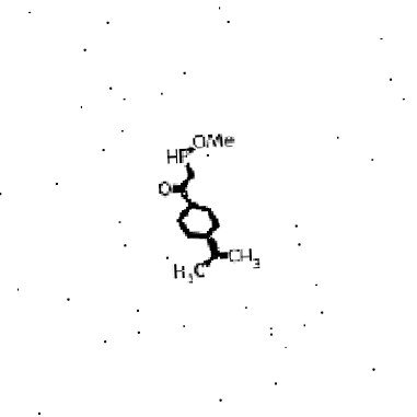 COPCC(=O)C1CCC(=C(C)C)CC1